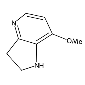 COc1ccnc2c1NCC2